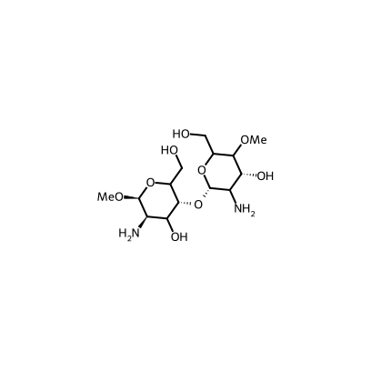 COC1C(CO)O[C@@H](O[C@H]2C(CO)O[C@H](OC)[C@H](N)C2O)C(N)[C@H]1O